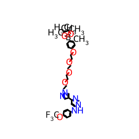 Cc1cc(OCCOCCOCCOCCn2cc(-c3cc(Nc4ccc(OC(F)(F)F)cc4)ncn3)cn2)ccc1B1OC(C)(C)C(C)(C)O1